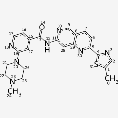 Cc1cnc(-c2ccc3cnc(NC(=O)c4ccnc(N5CCN(C)CC5)c4)cc3n2)s1